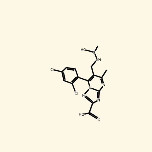 CB(O)NCc1c(C)nc2nc(C(=O)O)nn2c1-c1ccc(Cl)cc1Cl